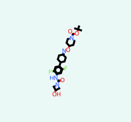 CC(C)(C)OC(=O)N1CCC(ON=C2CCC(c3cc(F)c(NC(=O)N4CC(O)C4)cc3F)CC2)CC1